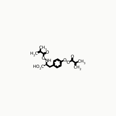 C=C(C)C(=O)ON[C@@H](Cc1ccc(OOC(=O)C(=C)C)cc1)C(=O)O